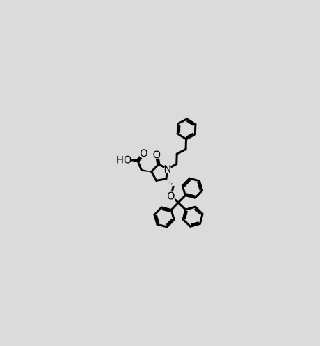 O=C(O)C[C@@H]1C[C@@H](COC(c2ccccc2)(c2ccccc2)c2ccccc2)N(CCCc2ccccc2)C1=O